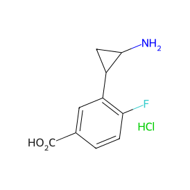 Cl.NC1CC1c1cc(C(=O)O)ccc1F